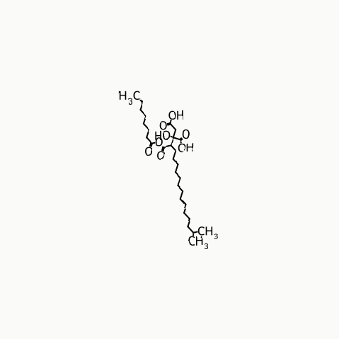 CCCCCCCC(=O)OC(=O)C(CCCCCCCCCCCCC(C)C)C(O)(CC(=O)O)C(=O)O